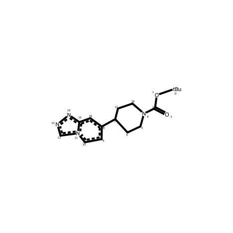 CC(C)(C)OC(=O)N1CCC(c2ccn3cnnc3c2)CC1